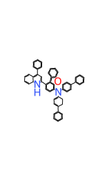 C1=CC2=C(c3ccccc3)C=C(c3ccc(N(C4=CC=C(c5ccccc5)CC4)c4ccc(-c5ccccc5)cc4)c4oc5ccccc5c34)NC2C=C1